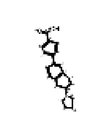 O=C(O)c1ccc(-c2ccc3c(c2)CCC(N2CCCC2)C3)cc1